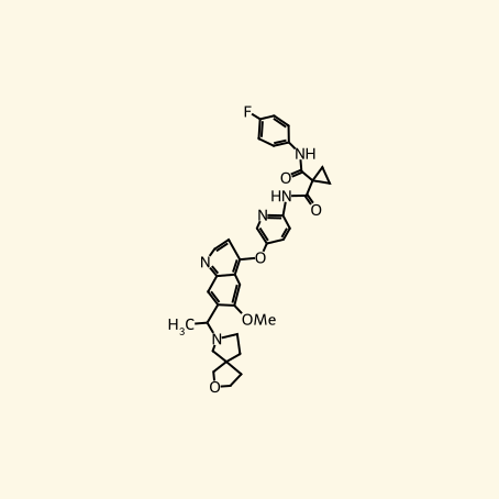 COc1cc2c(Oc3ccc(NC(=O)C4(C(=O)Nc5ccc(F)cc5)CC4)nc3)ccnc2cc1C(C)N1CCC2(CCOC2)C1